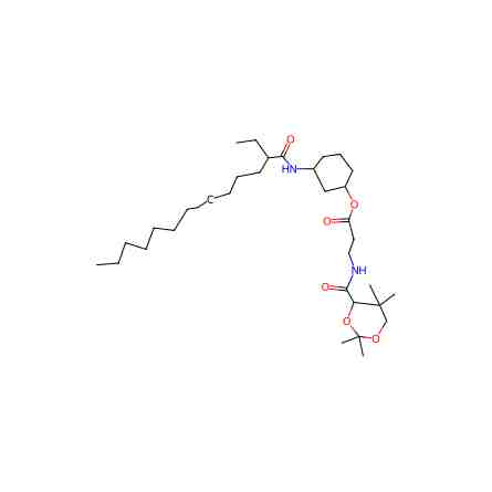 CCCCCCCCCCCCC(CC)C(=O)NC1CCCC(OC(=O)CCNC(=O)C2OC(C)(C)OCC2(C)C)C1